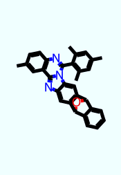 Cc1cc(C)c(-c2nc3ccc(C)cc3c3nc4cc5c(cc4n23)C2OC5c3ccccc32)c(C)c1